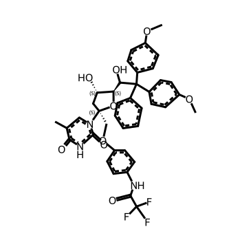 COc1ccc(C(c2ccccc2)(c2ccc(OC)cc2)C(O)[C@H]2O[C@@](COc3ccc(NC(=O)C(F)(F)F)cc3)(n3cc(C)c(=O)[nH]c3=O)C[C@@H]2O)cc1